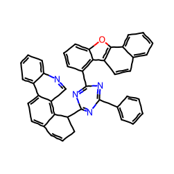 C1=Cc2ccc3c(cnc4ccccc43)c2C(c2nc(-c3ccccc3)nc(-c3cccc4oc5c6ccccc6ccc5c34)n2)C1